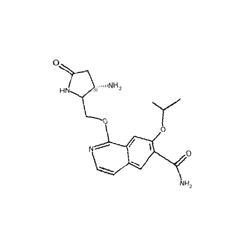 CC(C)Oc1cc2c(OCC3NC(=O)C[C@@H]3N)nccc2cc1C(N)=O